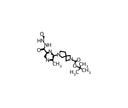 Cc1ncc(C(=O)NNC=O)nc1N1CCC2(CN(C(=O)OC(C)(C)C)C2)C1